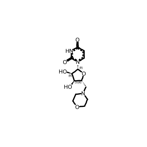 O=c1ccn([C@@H]2O[C@H](CN3CCOCC3)[C@@H](O)[C@H]2O)c(=O)[nH]1